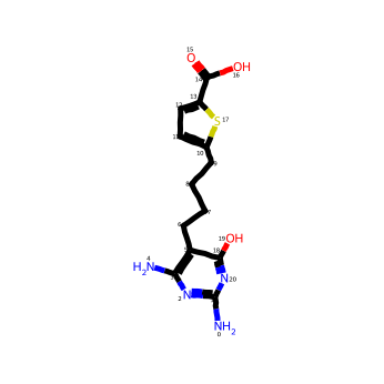 Nc1nc(N)c(CCCCc2ccc(C(=O)O)s2)c(O)n1